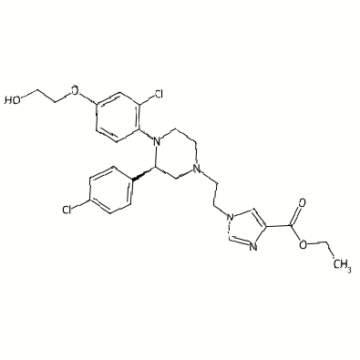 CCOC(=O)c1cn(CCN2CCN(c3ccc(OCCO)cc3Cl)[C@H](c3ccc(Cl)cc3)C2)cn1